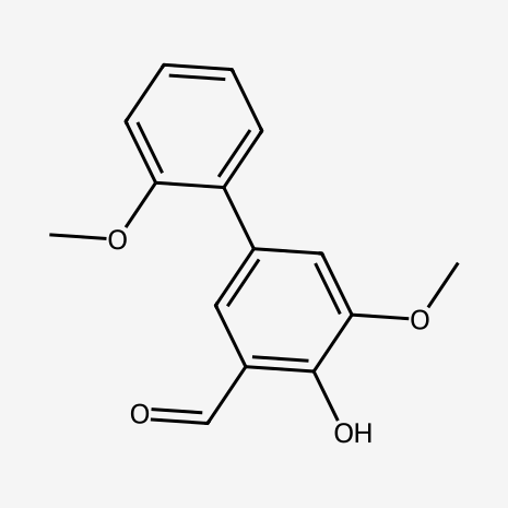 COc1ccccc1-c1cc(C=O)c(O)c(OC)c1